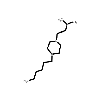 CCCCCCN1CCN(CCN(C)C)CC1